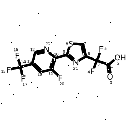 O=C(O)C(F)(F)c1csc(-c2ncc(C(F)(F)F)cc2F)n1